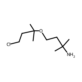 CC(C)(N)CCOC(C)(C)CCCl